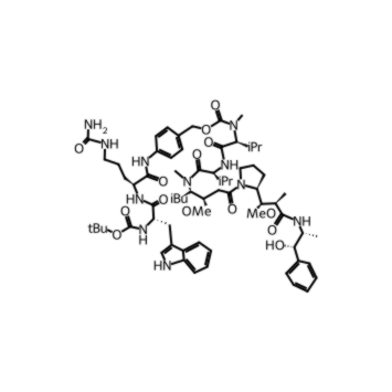 CC[C@H](C)[C@@H]([C@@H](CC(=O)N1CCC[C@H]1[C@H](OC)[C@@H](C)C(=O)N[C@H](C)[C@@H](O)c1ccccc1)OC)N(C)C(=O)[C@@H](NC(=O)[C@H](C(C)C)N(C)C(=O)OCc1ccc(NC(=O)[C@H](CCCNC(N)=O)NC(=O)[C@H](Cc2c[nH]c3ccccc23)NC(=O)OC(C)(C)C)cc1)C(C)C